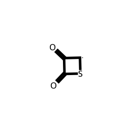 O=C1[CH]SC1=O